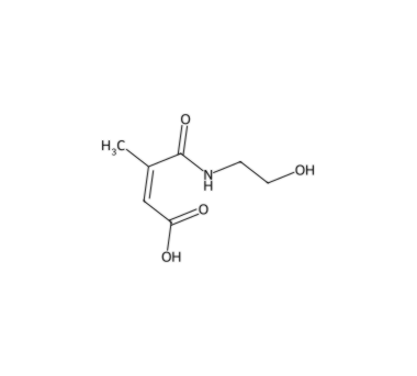 CC(=CC(=O)O)C(=O)NCCO